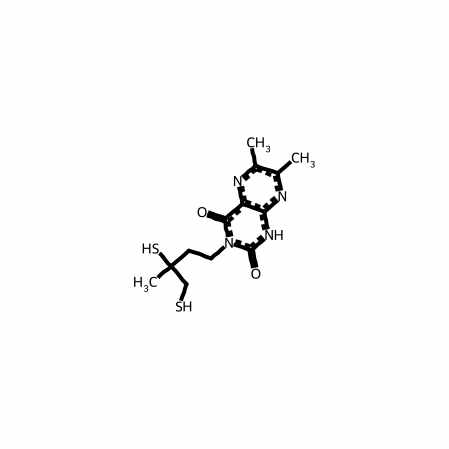 Cc1nc2[nH]c(=O)n(CCC(C)(S)CS)c(=O)c2nc1C